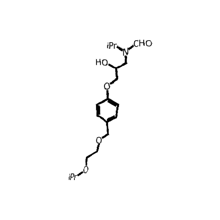 CC(C)OCCOCc1ccc(OCC(O)CN(C=O)C(C)C)cc1